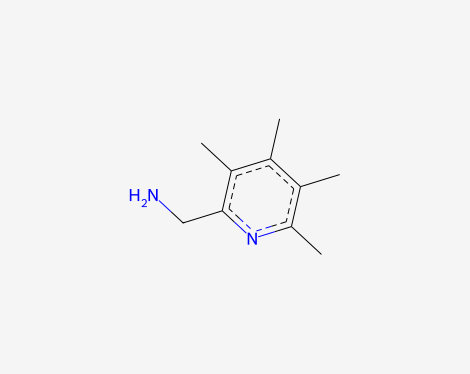 Cc1nc(CN)c(C)c(C)c1C